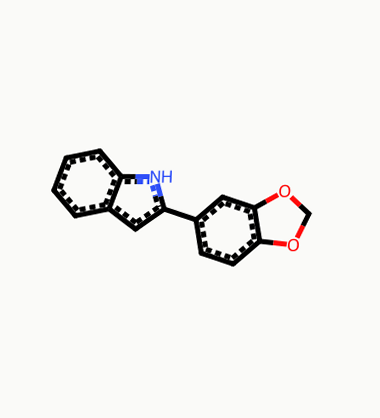 c1ccc2[nH]c(-c3ccc4c(c3)OCO4)cc2c1